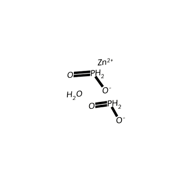 O.O=[PH2][O-].O=[PH2][O-].[Zn+2]